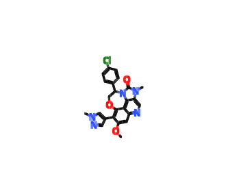 COc1cc2ncc3c4c2c(c1-c1cnn(C)c1)OCC(c1ccc(Cl)cc1)n4c(=O)n3C